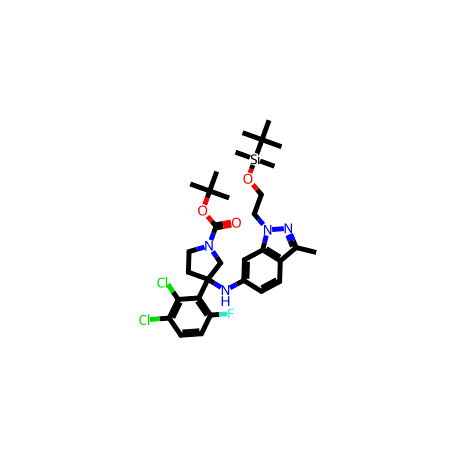 Cc1nn(CCO[Si](C)(C)C(C)(C)C)c2cc(NC3(c4c(F)ccc(Cl)c4Cl)CCN(C(=O)OC(C)(C)C)C3)ccc12